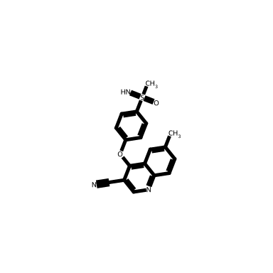 Cc1ccc2ncc(C#N)c(Oc3ccc(S(C)(=N)=O)cc3)c2c1